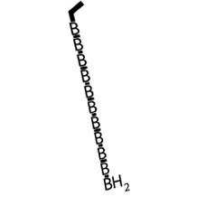 BB=BB=BB=BB=BB=BCC